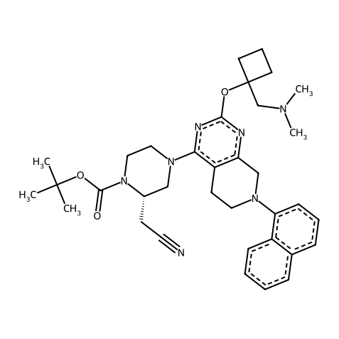 CN(C)CC1(Oc2nc3c(c(N4CCN(C(=O)OC(C)(C)C)[C@@H](CC#N)C4)n2)CCN(c2cccc4ccccc24)C3)CCC1